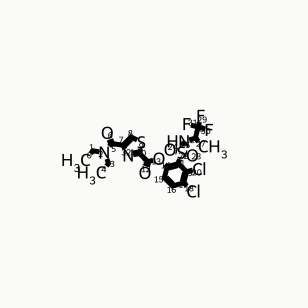 CCN(CC)C(=O)c1csc(C(=O)Oc2ccc(Cl)c(Cl)c2S(=O)(=O)NC(C)C(F)(F)F)n1